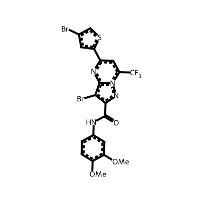 COc1ccc(NC(=O)c2nn3c(C(F)(F)F)cc(-c4cc(Br)cs4)nc3c2Br)cc1OC